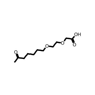 CC(=O)CCCCCOCCOCC(=O)O